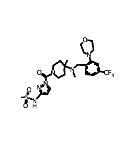 CN(Cc1ccc(C(F)(F)F)cc1N1CCOCC1)C1(C)CCN(C(=O)n2ccc(NS(C)(=O)=O)n2)CC1